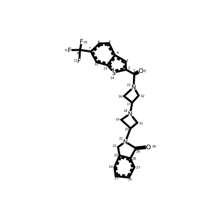 O=C(c1cc2ccc(C(F)(F)F)cc2s1)N1CC(N2CC(N3Cc4ccccc4C3=O)C2)C1